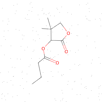 CCCC(=O)OC1C(=O)OCC1(C)C